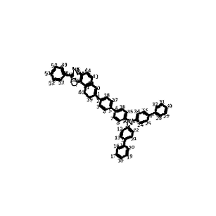 C1=C(c2ccc(-c3ccc(N(c4ccc(-c5ccccc5)cc4)c4ccc(-c5ccccc5)cc4)cc3)cc2)CCc2c1ccc1nc(-c3ccccc3)oc21